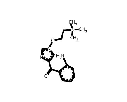 C[Si](C)(C)CCOn1cnc(C(=O)c2ccccc2N)c1